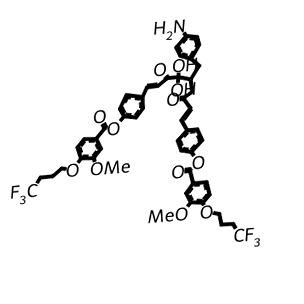 COc1cc(C(=O)Oc2ccc(/C=C/C(=O)CC(Cc3ccc(N)cc3)C(O)(O)C(=O)/C=C/c3ccc(OC(=O)c4ccc(OCCCC(F)(F)F)c(OC)c4)cc3)cc2)ccc1OCCCC(F)(F)F